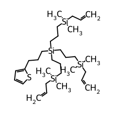 C=CC[Si](C)(C)CCC[Si](CCCc1cccs1)(CCC[Si](C)(C)CC=C)CCC[Si](C)(C)CC=C